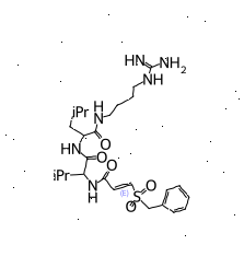 CC(C)CC(NC(=O)C(NC(=O)/C=C/S(=O)(=O)Cc1ccccc1)C(C)C)C(=O)NCCCCNC(=N)N